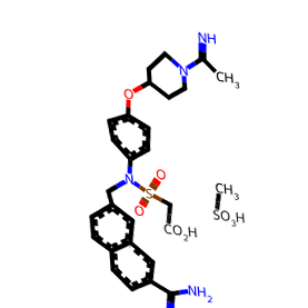 CC(=N)N1CCC(Oc2ccc(N(Cc3ccc4ccc(C(=N)N)cc4c3)S(=O)(=O)CC(=O)O)cc2)CC1.CS(=O)(=O)O